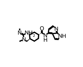 C/N=C(\N)N(C)C[C@H]1CC[C@H](C(=O)Nc2ccnc3[nH]ccc23)CC1